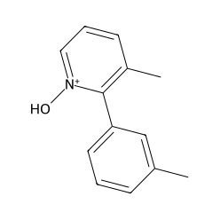 Cc1cccc(-c2c(C)ccc[n+]2O)c1